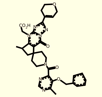 Cc1ncnc(C(=O)N2CCC3(CC2)CC(C)c2c3c(=O)n3nc(C4=CCOCC4)nc3n2CC(=O)O)c1OCc1ccccc1